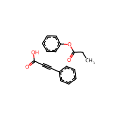 CCC(=O)Oc1ccccc1.O=C(O)C#Cc1ccccc1